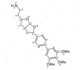 COc1cc(-c2ccc(C3CC4CC(CCN)OC4O3)cc2)cc(OC)c1OC